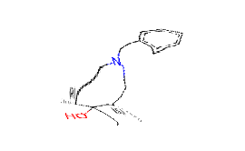 C[C@@H]1CN(Cc2ccccc2)C[C@H](C)C1(C)O